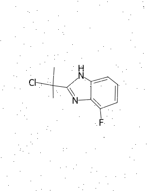 CC(C)(Cl)c1nc2c(F)cccc2[nH]1